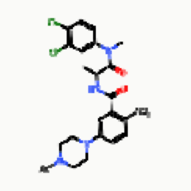 CC(=O)N1CCN(c2ccc([N+](=O)[O-])c(C(=O)NC(C)C(=O)N(C)c3ccc(Cl)c(Cl)c3)c2)CC1